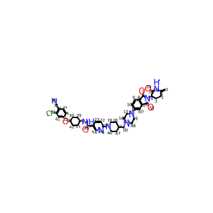 C=C1CCC(N2C(=O)c3ccc(N4CCN(CC5CCN(c6ccc(C(=O)N[C@H]7CC[C@H](Oc8ccc(C#N)c(Cl)c8)CC7)cn6)CC5)CC4)cc3C2=O)C(=O)N1